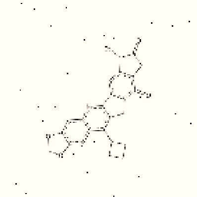 CC[C]1C(=O)Cc2c1cc1n(c2=O)Cc2c-1nc1cc3c(cc1c2C1CCC1)OCO3